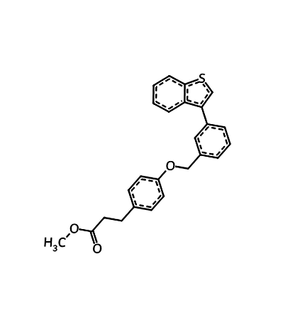 COC(=O)CCc1ccc(OCc2cccc(-c3csc4ccccc34)c2)cc1